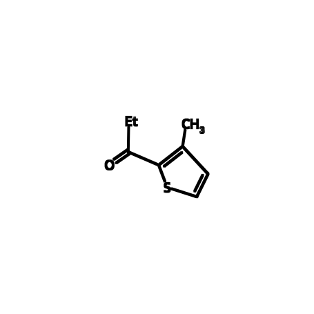 CCC(=O)c1sccc1C